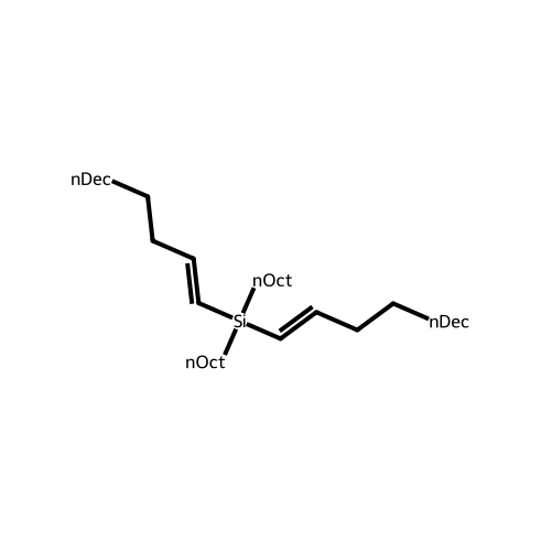 CCCCCCCCCCCC/C=C/[Si](/C=C/CCCCCCCCCCCC)(CCCCCCCC)CCCCCCCC